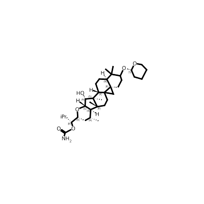 CC(C)[C@@H](OC(N)=O)[C@H]1C[C@@H](C)[C@H]2[C@H](O1)[C@H](O)[C@@]1(C)[C@@H]3CC[C@H]4C(C)(C)C(O[C@H]5CCCCO5)CC[C@@]45CC35CC[C@]21C